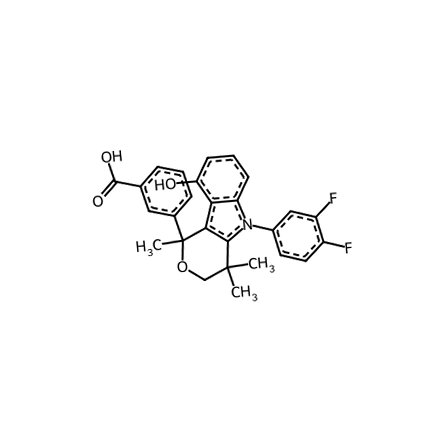 CC1(C)COC(C)(c2cccc(C(=O)O)c2)c2c1n(-c1ccc(F)c(F)c1)c1cccc(O)c21